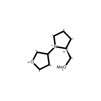 COC[C@@H]1CCCN1C1CCOC1